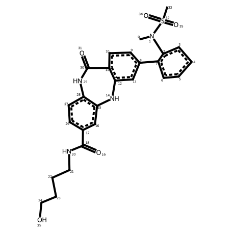 CN(c1ccccc1-c1ccc2c(c1)Nc1cc(C(=O)NCCCCO)ccc1NC2=O)S(C)(=O)=O